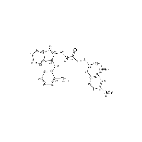 COc1ccc(CC(C)CCC(=O)[N]Cc2nc3ccccc3n2Cc2ccccc2C)c(OC)c1